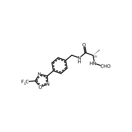 C[C@H](NC=O)C(=O)NCc1ccc(-c2noc(C(F)(F)F)n2)cc1